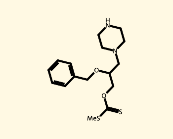 CSC(=S)OCC(CN1CCNCC1)OCc1ccccc1